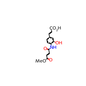 COC(=O)/C=C/C(=O)Nc1ccc(/C=C/C(=O)O)cc1O